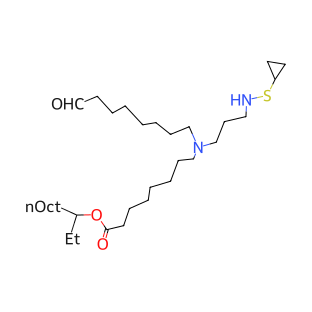 CCCCCCCCC(CC)OC(=O)CCCCCCCN(CCCCCCCC=O)CCCNSC1CC1